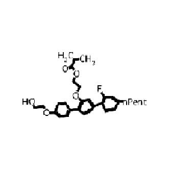 C=C(C)C(=O)OCCOc1cc(-c2ccc(CCCCC)cc2F)ccc1-c1ccc(OCCO)cc1